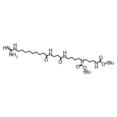 CC(C)(C)OC(=O)NCCCN(CCCCNC(=O)CCNC(=O)CCCCCCCCNC(=N)N)C(=O)OC(C)(C)C